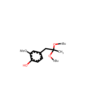 CCCCOC(C)(Cc1ccc(O)c(OC)c1)OCCCC